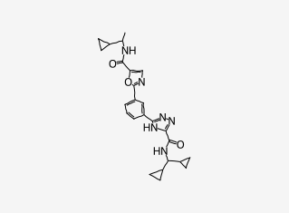 CC(NC(=O)c1cnc(-c2cccc(-c3nnc(C(=O)NC(C4CC4)C4CC4)[nH]3)c2)o1)C1CC1